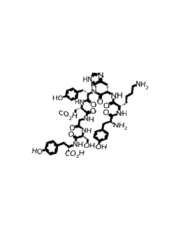 NCCCC[C@H](NC(=O)[C@@H](N)Cc1ccc(O)cc1)C(=O)N[C@@H](Cc1c[nH]cn1)C(=O)N[C@@H](Cc1ccc(O)cc1)C(=O)N[C@@H](CC(=O)O)C(=O)NCC(=O)N[C@@H](CO)C(=O)N[C@@H](Cc1ccc(O)cc1)C(=O)O